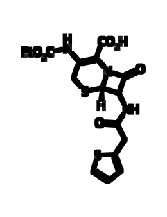 CCOC(=O)NC1=C(C(=O)O)N2C(=O)C(NC(=O)Cc3cccs3)[C@@H]2SC1